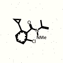 C=C(C)N(NC)C(=O)c1c(Cl)cccc1C1CC1